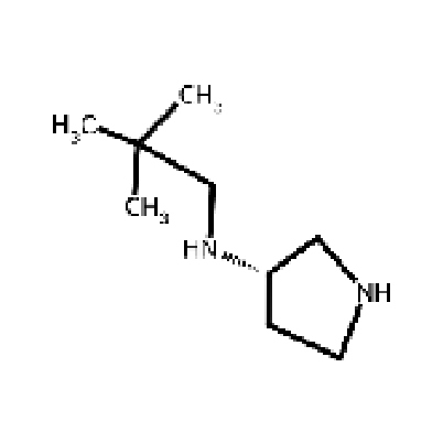 CC(C)(C)CN[C@H]1CCNC1